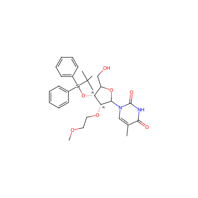 COCCO[C@H]1C(n2cc(C)c(=O)[nH]c2=O)OC(CO)[C@H]1O[Si](c1ccccc1)(c1ccccc1)C(C)(C)C